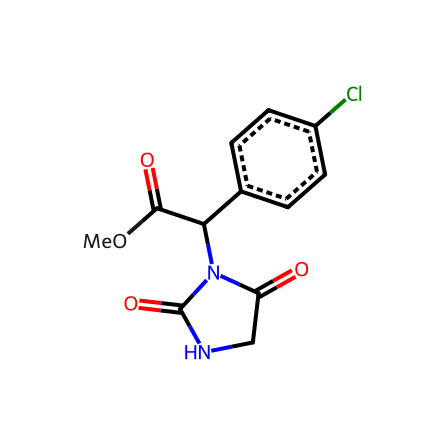 COC(=O)C(c1ccc(Cl)cc1)N1C(=O)CNC1=O